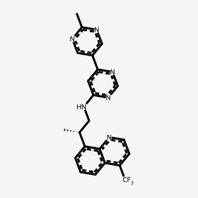 Cc1ncc(-c2cc(NC[C@@H](C)c3cccc4c(C(F)(F)F)ccnc34)ncn2)cn1